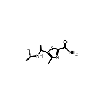 Cc1nc(C(N)=O)sc1C(C)NC(C)C